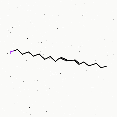 CCCCCC=CC=CCCCCCCCCI